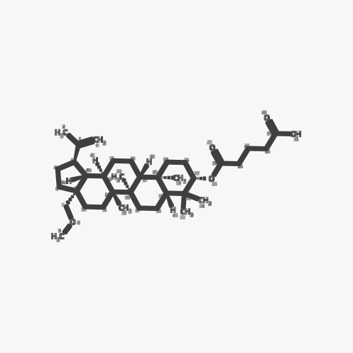 C=C(C)[C@@H]1CC[C@]2(COC)CC[C@]3(C)[C@H](CC[C@@H]4[C@@]5(C)CC[C@H](OC(=O)CCCC(=O)O)C(C)(C)[C@@H]5CC[C@]43C)[C@@H]12